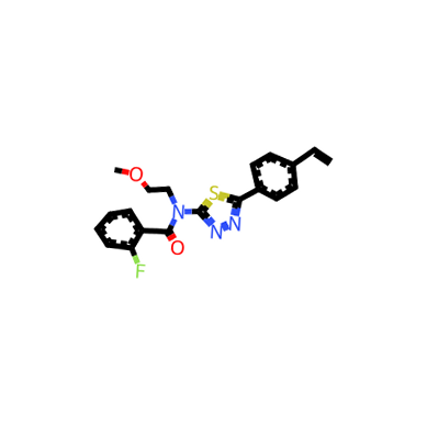 C=Cc1ccc(-c2nnc(N(CCOC)C(=O)c3ccccc3F)s2)cc1